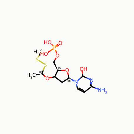 CSS[C@H](C)OC1C[C@H](N2C=CC(N)=NC2O)O[C@@H]1COP(=O)(O)O